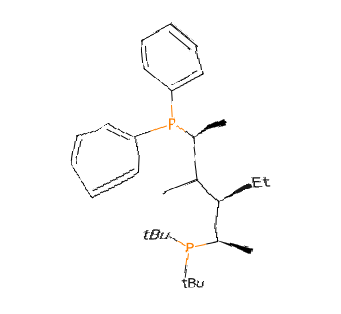 CC[C@H](C(C)[C@H](C)P(c1ccccc1)c1ccccc1)[C@@H](C)P(C(C)(C)C)C(C)(C)C